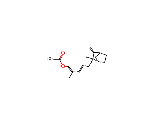 C=C1C2CCC(C2)C1(C)CC=CC(C)=COC(=O)C(C)C